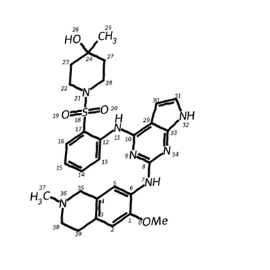 COc1cc2c(cc1Nc1nc(Nc3ccccc3S(=O)(=O)N3CCC(C)(O)CC3)c3cc[nH]c3n1)CN(C)CC2